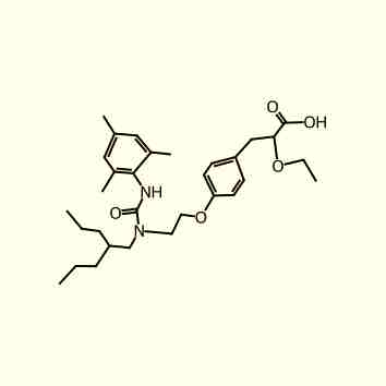 CCCC(CCC)CN(CCOc1ccc(CC(OCC)C(=O)O)cc1)C(=O)Nc1c(C)cc(C)cc1C